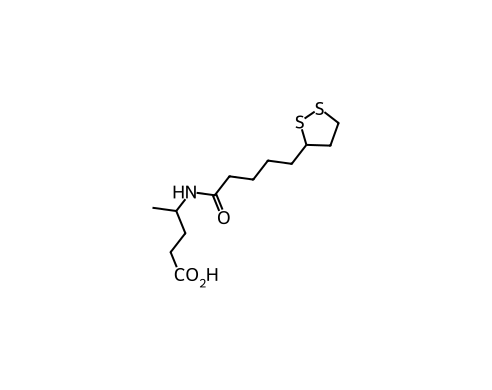 CC(CCC(=O)O)NC(=O)CCCCC1CCSS1